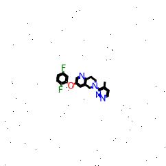 Cc1ccnnc1N1CCc2ncc(Oc3cc(F)ccc3F)cc2C1